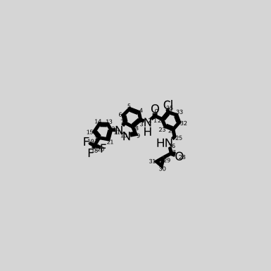 O=C(Nc1cccc2c1cnn2-c1cccc(C(F)(F)F)c1)c1cc(CNC(=O)C2CC2)ccc1Cl